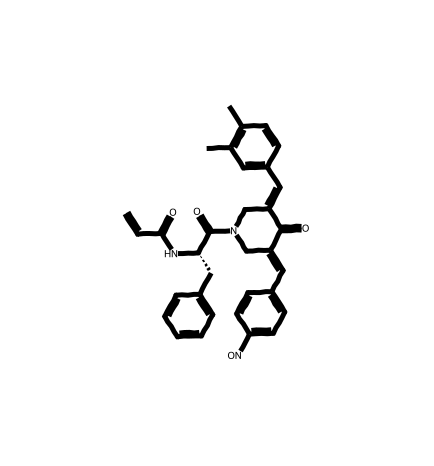 C=CC(=O)N[C@@H](Cc1ccccc1)C(=O)N1C/C(=C\c2ccc(N=O)cc2)C(=O)/C(=C/c2ccc(C)c(C)c2)C1